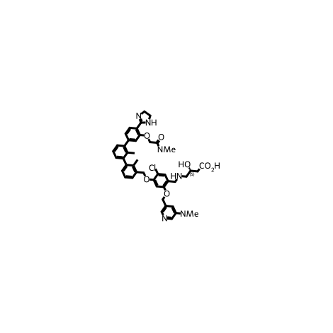 CNC(=O)COc1cc(-c2cccc(-c3cccc(COc4cc(OCc5cncc(NC)c5)c(CNC[C@@H](O)CC(=O)O)cc4Cl)c3C)c2C)ccc1C1=NCCN1